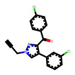 C#CCn1cc(-c2cccc(Cl)c2)c(C(=O)c2ccc(Cl)cc2)n1